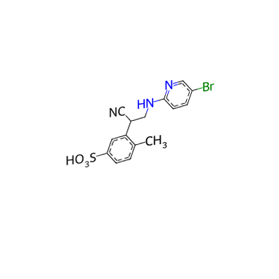 Cc1ccc(S(=O)(=O)O)cc1C(C#N)CNc1ccc(Br)cn1